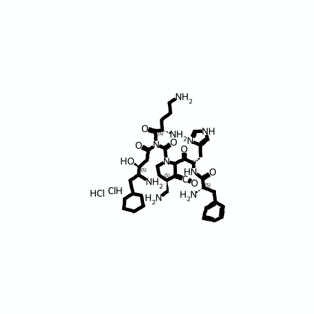 Cl.Cl.NCCC[C@H](N)C(=O)N(C(=O)C[C@H](O)C(N)CC1CCCCC1)C(=O)N1CC[C@H](CN)C(=C=O)C1C(=O)[C@H](Cc1c[nH]cn1)NC(=O)[C@@H](N)Cc1ccccc1